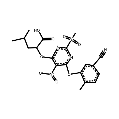 Cc1ccc(C#N)cc1Oc1nc(S(C)(=O)=O)nc(OC(CC(C)C)C(=O)O)c1[N+](=O)[O-]